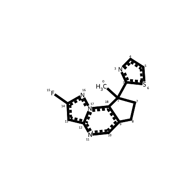 CC1(c2nccs2)CCc2cnc3cc(F)nn3c21